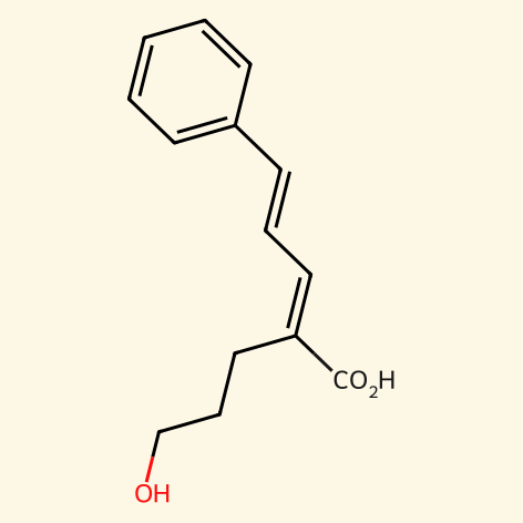 O=C(O)C(=CC=Cc1ccccc1)CCCO